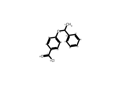 CC(Oc1ccc(C(=O)Cl)cc1)c1ccccc1